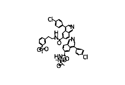 CN(NC(=O)c1ccc2cncc(-c3ccc(Cl)cc3)c2c1)S(C)(=O)=O.CS(=O)(=O)c1cccc(CCNC(=O)c2ccc3cncc(-c4ccc(Cl)cc4)c3c2)c1